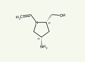 C=CN1C[C@@H](N)C[C@H]1CO